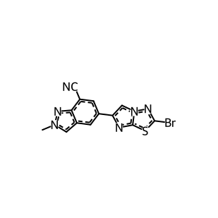 Cn1cc2cc(-c3cn4nc(Br)sc4n3)cc(C#N)c2n1